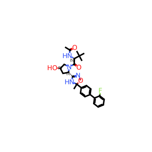 CC(=O)N[C@H](C(=O)N1C[C@H](O)C[C@H]1C1=NOC(C)(c2ccc(-c3ccccc3F)cc2)N1)C(C)(C)C